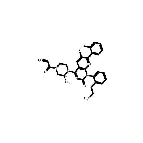 C=CC(=O)N1CCN(c2nc(=O)n(-c3ccccc3CCC)c3nc(-c4ccccc4Cl)c(F)cc23)[C@@H](C)C1